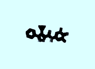 Cc1cc(NC(=O)c2snc(-c3ccccc3)c2C2CC2)cn(C)c1=O